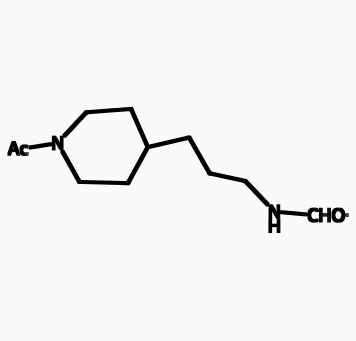 CC(=O)N1CCC(CCCN[C]=O)CC1